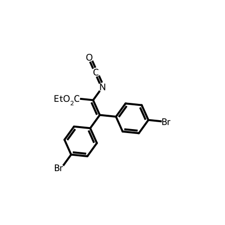 CCOC(=O)C(N=C=O)=C(c1ccc(Br)cc1)c1ccc(Br)cc1